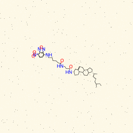 CCC(C)CCCC(C)[C@H]1CCC2C3CC=C4C[C@@H](NC(=O)CCNC(=O)CCCCCNc5ccc([N+](=O)[O-])c6nonc56)CC[C@]4(C)C3CC[C@@]21C